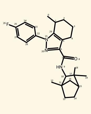 CC1CCCc2c(C(=O)NC3C4(C)CCC(C4)C3(C)C)nn(-c3ccc(F)cc3)c21